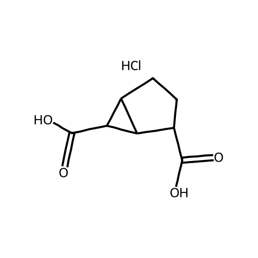 Cl.O=C(O)C1CCC2C(C(=O)O)C12